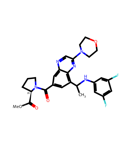 COC(=O)[C@H]1CCCN1C(=O)c1cc(C(C)Nc2cc(F)cc(F)c2)c2nc(N3CCOCC3)cnc2c1